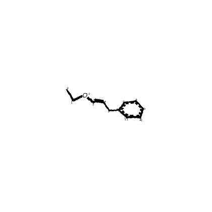 CCOC=CCc1ccccc1